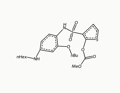 CCCCCCNc1ccc(NS(=O)(=O)c2ccsc2OC(=O)OC)c(OCCCC)c1